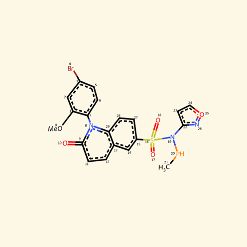 COc1cc(Br)ccc1-n1c(=O)ccc2cc(S(=O)(=O)N(PC)c3ccon3)ccc21